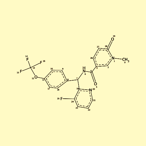 Cn1cc(C(=O)NC(c2ccc(OC(F)(F)F)cc2)c2ncccc2F)ccc1=O